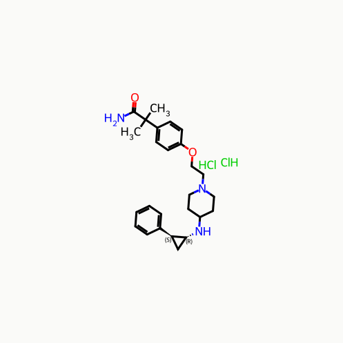 CC(C)(C(N)=O)c1ccc(OCCN2CCC(N[C@@H]3C[C@H]3c3ccccc3)CC2)cc1.Cl.Cl